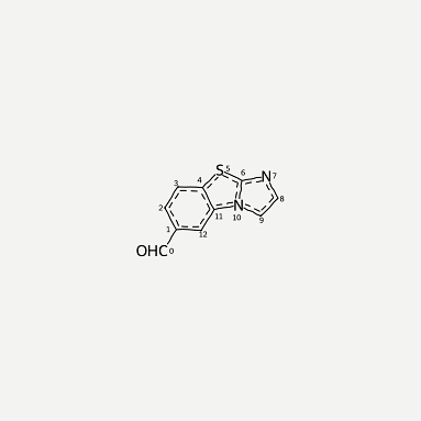 O=Cc1ccc2sc3nccn3c2c1